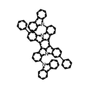 c1ccc(-c2ccc3c4c5c6cccc(-n7c8ccccc8c8ccccc87)c6n6c7cc(-c8ccccc8)ccc7c(c7c8cccc(-n9c%10ccccc%10c%10ccccc%109)c8n(c3c2)c47)c56)cc1